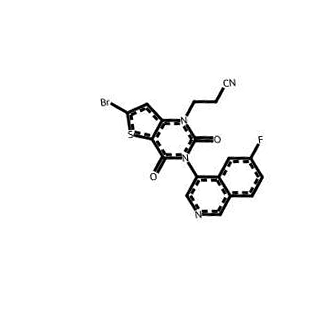 N#CCCn1c(=O)n(-c2cncc3ccc(F)cc23)c(=O)c2sc(Br)cc21